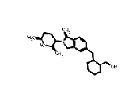 C=C1CCC(N2Cc3cc(CC4CCCC[C@@H]4CO)ccc3C2=C)C(=C)N1